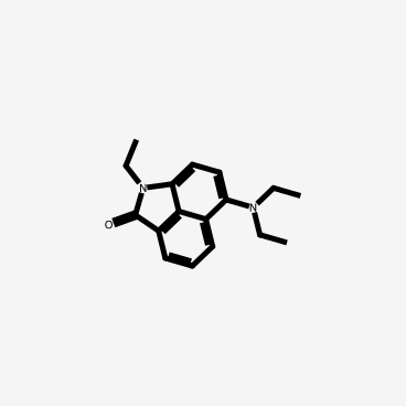 CCN(CC)c1ccc2c3c(cccc13)C(=O)N2CC